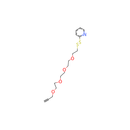 C#CCOCCOCCOCCOCCSSc1ccccn1